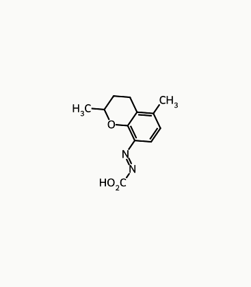 Cc1ccc(/N=N/C(=O)O)c2c1CCC(C)O2